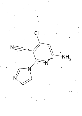 N#Cc1c(Cl)cc(N)nc1-n1ccnc1